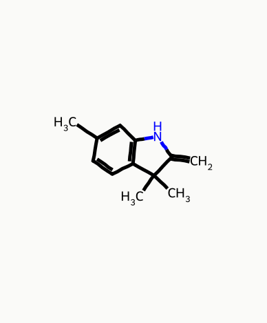 C=C1Nc2cc(C)ccc2C1(C)C